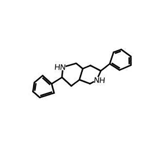 c1ccc(C2CC3CNC(c4ccccc4)CC3CN2)cc1